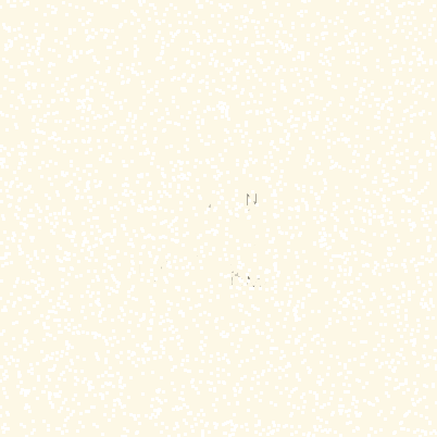 C=Cc1ccc(N2CCCCC2)cc1OC